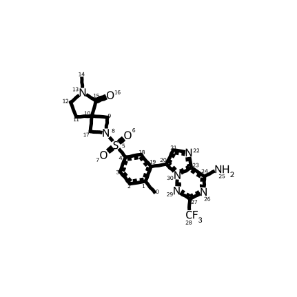 Cc1ccc(S(=O)(=O)N2CC3(CCN(C)C3=O)C2)cc1-c1cnc2c(N)nc(C(F)(F)F)nn12